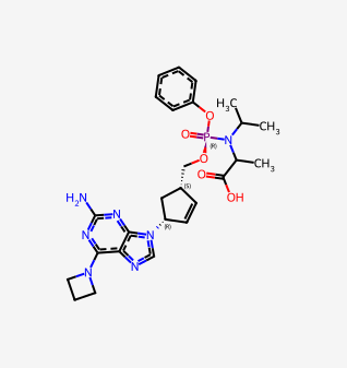 CC(C)N(C(C)C(=O)O)[P@@](=O)(OC[C@@H]1C=C[C@H](n2cnc3c(N4CCC4)nc(N)nc32)C1)Oc1ccccc1